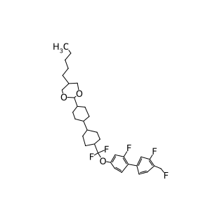 CCCCCC1COC(C2CCC(C3CCC(C(F)(F)Oc4ccc(-c5ccc(CF)c(F)c5)c(F)c4)CC3)CC2)OC1